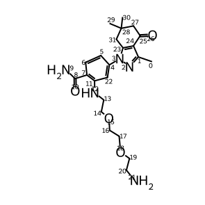 Cc1nn(-c2ccc(C(N)=O)c(NCCOCCOCCN)c2)c2c1C(=O)CC(C)(C)C2